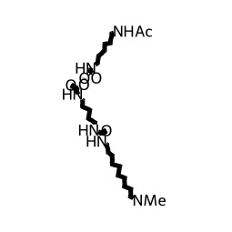 CNCCCCCCCCCCNC(=O)NCCCCCNC(=O)OOC(=O)NCCCCCCNC(C)=O